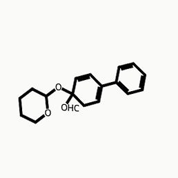 O=CC1(OC2CCCCO2)C=CC(c2ccccc2)=CC1